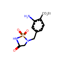 CCOC(=O)c1ccc(CN2CC(=O)NS2(=O)=O)cc1N